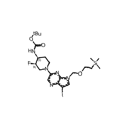 CC(C)(C)OC(=O)N[C@H]1CCN(c2cnc3c(I)cn(COCC[Si](C)(C)C)c3n2)C[C@H]1F